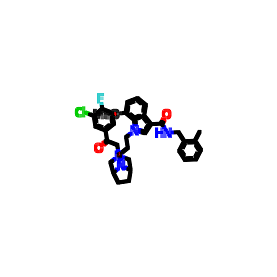 COc1cccc2c(C(=O)NCc3ccccc3C)cn(CCCN3C4CCC3CN(CC(=O)c3ccc(F)c(Cl)c3)C4)c12